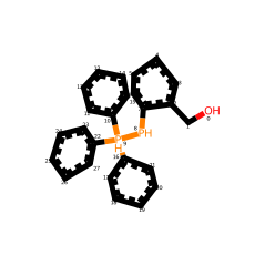 OCc1ccccc1P[PH](c1ccccc1)(c1ccccc1)c1ccccc1